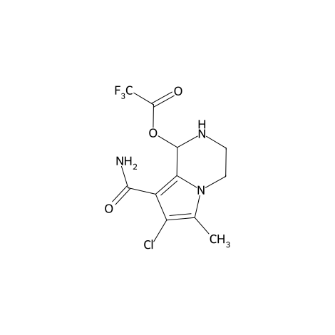 Cc1c(Cl)c(C(N)=O)c2n1CCNC2OC(=O)C(F)(F)F